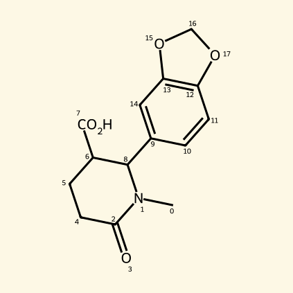 CN1C(=O)CCC(C(=O)O)C1c1ccc2c(c1)OCO2